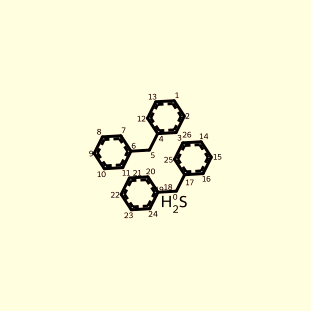 S.c1ccc(Cc2ccccc2)cc1.c1ccc(Cc2ccccc2)cc1